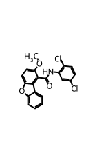 COc1ccc2oc3ccccc3c2c1C(=O)Nc1cc(Cl)ccc1Cl